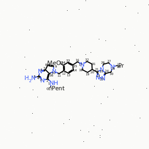 CCCCCNc1nc(N)nc2ccn(Cc3ccc(CN4CCC(c5nnc6n5CCN(C(C)C)C6)CC4)cc3OC)c12